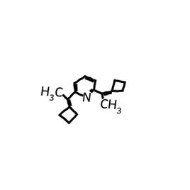 CC(=C1CCC1)c1cccc(C(C)=C2CCC2)n1